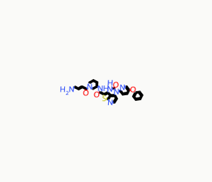 NCC=CC(=O)N1CCCC(NC(=O)c2sc3nccc4c3c2NC(=O)N4c2ccc(Oc3ccccc3)cn2)C1